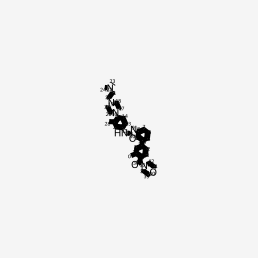 Cc1cc(-c2cccc3nc(Nc4ccc(N5CCN(CCN(C)C)CC5)c(C)c4)oc23)ccc1C(=O)N1CCOCC1